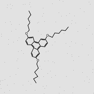 CCCCCCOc1ccc2c3ccc(OCCCCCC)cc3c3cc(OCCCCCC)ccc3c2c1